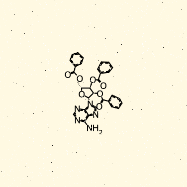 Nc1ncnc2c1ncn2[C@@H]1O[C@H](COC(=O)c2ccccc2)[C@@H](OC(=O)c2ccccc2)[C@H]1OC(=O)c1ccccc1